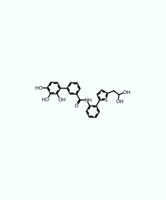 O=C(Nc1ccccc1-c1ccc(CC(O)O)s1)c1cccc(-c2ccc(O)c(O)c2O)c1